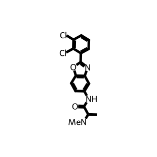 CNC(C)C(=O)Nc1ccc2oc(-c3cccc(Cl)c3Cl)nc2c1